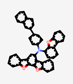 c1ccc2cc(-c3ccc(N(c4cccc5c4oc4ccccc45)c4cc5c6ccccc6oc5c5oc6ccccc6c45)cc3)ccc2c1